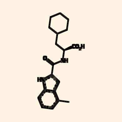 Cc1cccc2[nH]c(C(=O)N[C@@H](CC3CCCCC3)C(=O)O)cc12